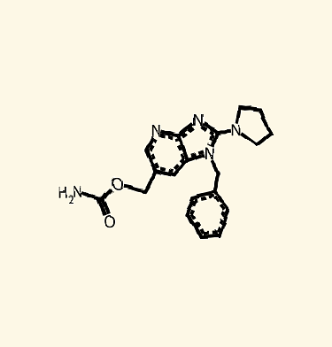 NC(=O)OCc1cnc2nc(N3CCCC3)n(Cc3ccccc3)c2c1